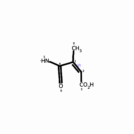 C/C(=C/C(=O)O)C([NH])=O